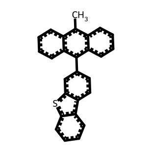 Cc1c2ccccc2c(-c2ccc3c(c2)sc2ccccc23)c2ccccc12